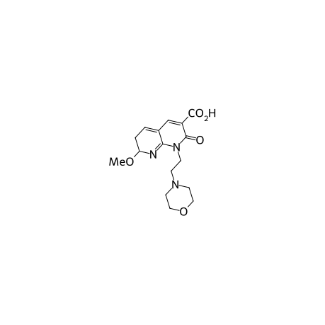 COC1CC=c2cc(C(=O)O)c(=O)n(CCN3CCOCC3)c2=N1